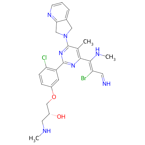 CNC[C@@H](O)COc1ccc(Cl)c(-c2nc(/C(NC)=C(\Br)C=N)c(C)c(N3Cc4cccnc4C3)n2)c1